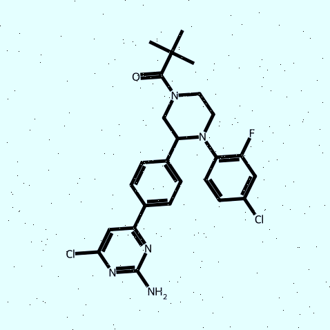 CC(C)(C)C(=O)N1CCN(c2ccc(Cl)cc2F)C(c2ccc(-c3cc(Cl)nc(N)n3)cc2)C1